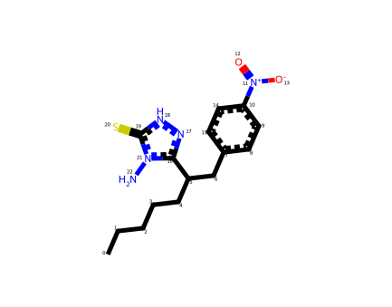 CCCCCC(Cc1ccc([N+](=O)[O-])cc1)c1n[nH]c(=S)n1N